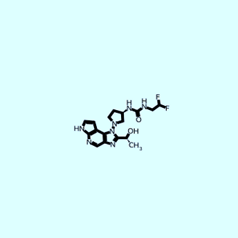 C[C@@H](O)c1nc2cnc3[nH]ccc3c2n1N1CC[C@@H](NC(=O)NCC(F)F)C1